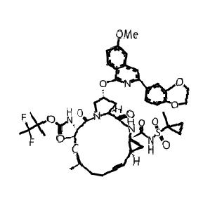 COc1ccc2c(O[C@@H]3C[C@H]4C(=O)N[C@]5(C(=O)NS(=O)(=O)C6(C)CC6)C[C@H]5/C=C\CC[C@@H](C)C[C@@H](C)[C@H](NC(=O)OC(C)(C)C(C)(F)F)C(=O)N4C3)nc(-c3ccc4c(c3)OCCO4)cc2c1